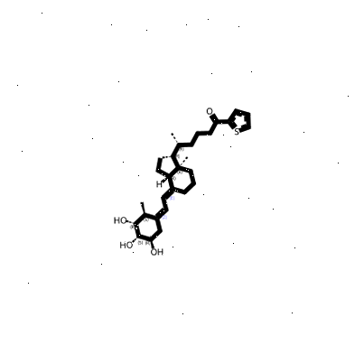 C[C@H](CCCC(=O)c1cccs1)[C@H]1CC[C@H]2/C(=C/C=C3/C[C@@H](O)[C@H](O)[C@H](O)[C@H]3C)CCC[C@]12C